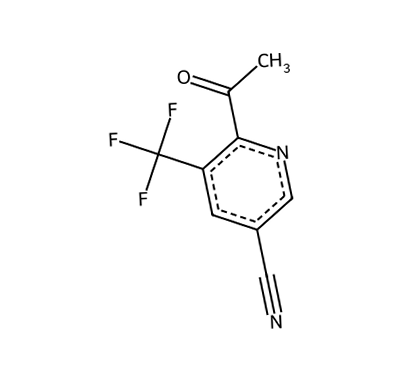 CC(=O)c1ncc(C#N)cc1C(F)(F)F